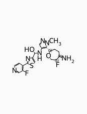 Cn1ncc(NC(O)c2csc(-c3ccncc3F)n2)c1[C@@H]1CC[C@@H](N)[C@H](F)CO1